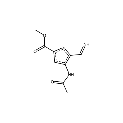 COC(=O)c1cc(NC(C)=O)c(C=N)s1